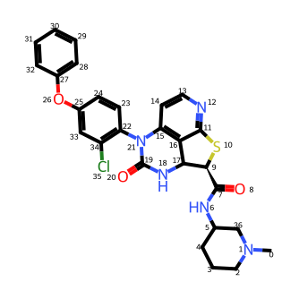 CN1CCCC(NC(=O)[C@@H]2Sc3nccc4c3C2NC(=O)N4c2ccc(Oc3ccccc3)cc2Cl)C1